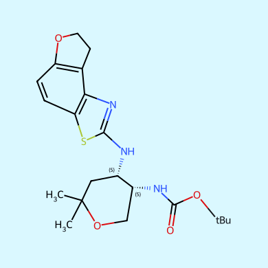 CC(C)(C)OC(=O)N[C@@H]1COC(C)(C)C[C@@H]1Nc1nc2c3c(ccc2s1)OCC3